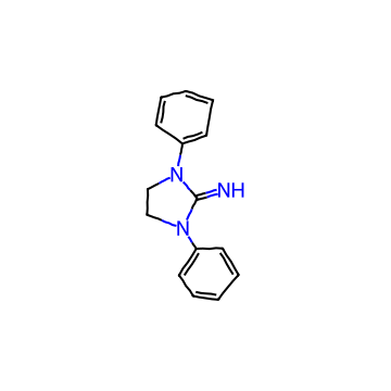 N=C1N(c2ccccc2)CCN1c1ccccc1